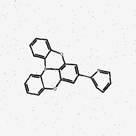 c1ccc(-c2cc3c4c(c2)Oc2ccccc2B4c2ccccc2O3)nc1